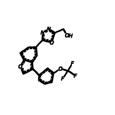 OCc1nnc(-c2ccc3occ(-c4cccc(OC(F)(F)F)c4)c3c2)o1